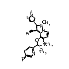 CC(OC1=C(N)C=CN2C1=C(C#N)C(c1cn[nH]c1)N2C)c1ccc(F)cn1